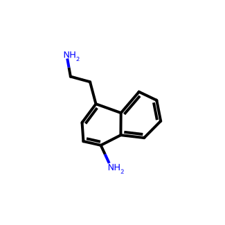 NCCc1ccc(N)c2ccccc12